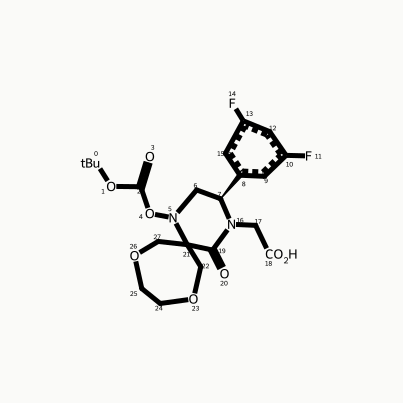 CC(C)(C)OC(=O)ON1C[C@@H](c2cc(F)cc(F)c2)N(CC(=O)O)C(=O)C12COCCOC2